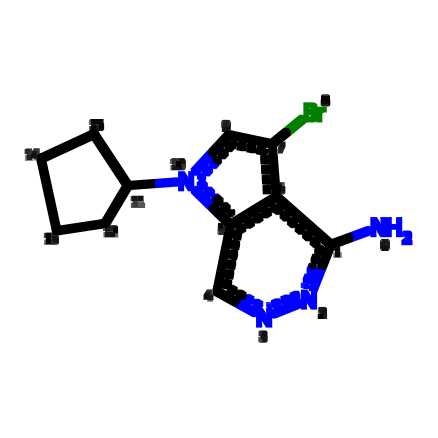 Nc1nncc2c1c(Br)cn2C1CCCC1